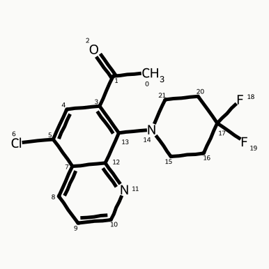 CC(=O)c1cc(Cl)c2cccnc2c1N1CCC(F)(F)CC1